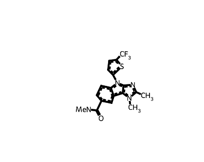 CNC(=O)c1ccc2c(c1)c1c(nc(C)n1C)n2-c1ccc(C(F)(F)F)s1